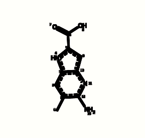 Cc1cc2[nH]c(C(=O)O)cc2nc1N